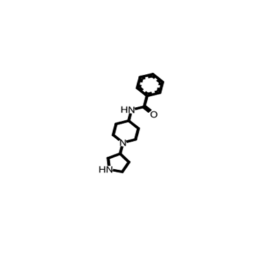 O=C(NC1CCN(C2CCNC2)CC1)c1ccccc1